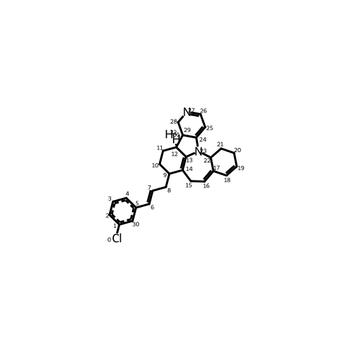 Clc1cccc(C=CCC2CC[C@H]3C4=C2CC=C2C=CCCC2N4C2=CC=NC[C@@H]23)c1